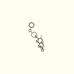 Cc1cn2c[n+]([O-])nc2nc1N1CCC(Oc2ccccc2)CC1